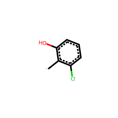 [CH2]c1c(O)cccc1Cl